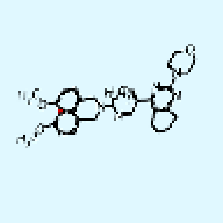 C/C=C(\C=N/C(C)N(Cc1ccc(OC)cc1)Cc1ccc(OC)cc1)c1nc(N2CCOCC2)nc2c1CCCC2